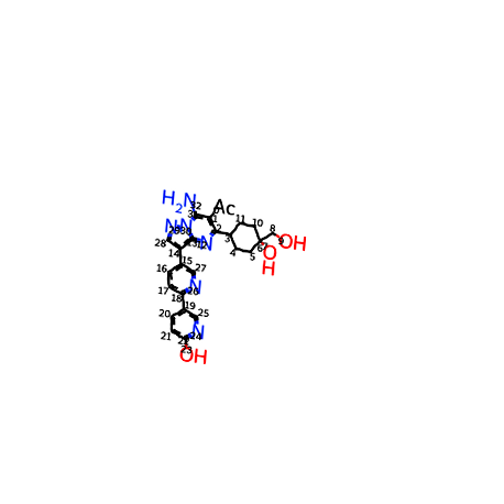 CC(=O)c1c(C2CCC(O)(CO)CC2)nc2c(-c3ccc(-c4ccc(O)nc4)nc3)cnn2c1N